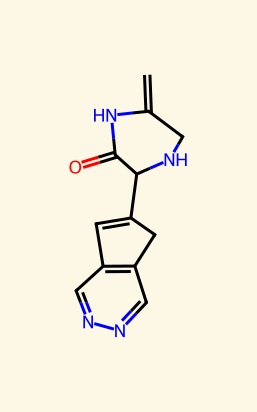 C=C1CNC(C2=Cc3cnncc3C2)C(=O)N1